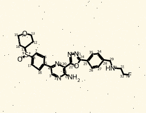 Nc1ncc(-c2ccc([S+]([O-])C3CCOCC3)cc2)nc1-c1nnc(-c2ccc(CNCCF)cc2)o1